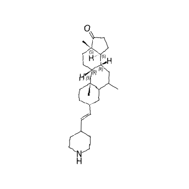 CC1C[C@@H]2[C@@H](CC[C@]3(C)C(=O)CC[C@@H]23)[C@@]2(C)CCC(C=CC3CCNCC3)CC12